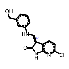 O=C1Nc2nc(Cl)ccc2/C1=C/Nc1cccc(CO)c1